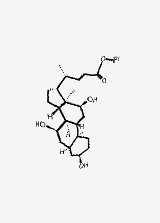 CC(C)OC(=O)CC[C@@H](C)[C@H]1CC[C@H]2[C@@H]3[C@H](O)C[C@@H]4C[C@H](O)CC[C@]4(C)[C@H]3C[C@H](O)[C@]12C